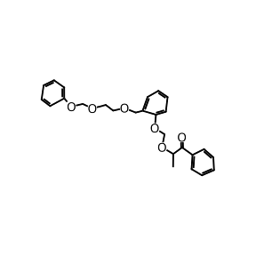 CC(OCOc1ccccc1COCCOCOc1ccccc1)C(=O)c1ccccc1